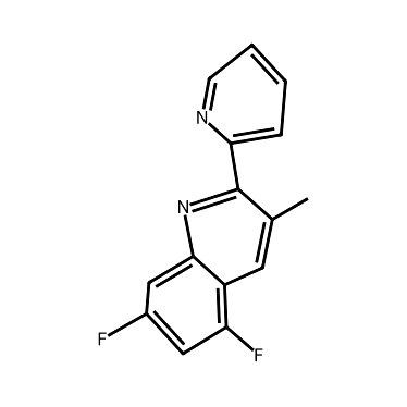 Cc1cc2c(F)cc(F)cc2nc1-c1ccccn1